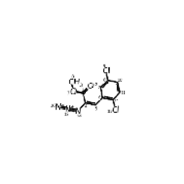 COC(=O)/C(=C\c1cc(Cl)ccc1Cl)N=[N+]=[N-]